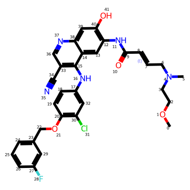 COCCN(C)C/C=C/C(=O)Nc1cc2c(Nc3ccc(OCc4cccc(F)c4)c(Cl)c3)c(C#N)cnc2cc1O